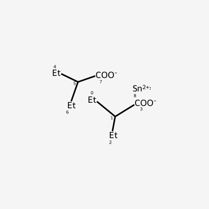 CCC(CC)C(=O)[O-].CCC(CC)C(=O)[O-].[Sn+2]